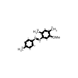 COc1cc(/N=N/c2ccc(C)cc2)c(C)cc1C